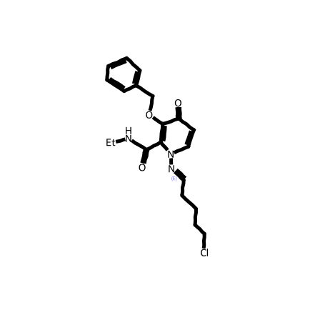 CCNC(=O)c1c(OCc2ccccc2)c(=O)ccn1/N=C/CCCCCl